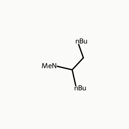 CCCCCC(CCCC)NC